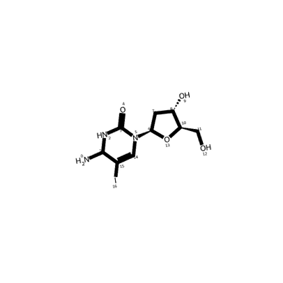 NC1NC(=O)N([C@H]2C[C@H](O)[C@@H](CO)O2)C=C1I